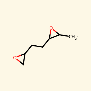 [CH2]C1OC1CCC1CO1